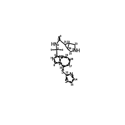 C=C(NC(C)(C)c1ncc2c(Sc3nccs3)cccn12)C1C2CNCC21